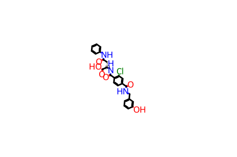 O=C(C[C@H](NC(=O)c1ccc(C(=O)NCc2cccc(O)c2)cc1Cl)C(=O)O)Nc1ccccc1